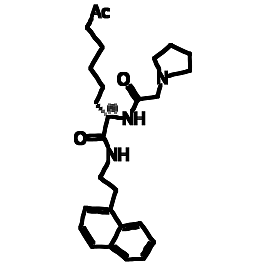 CC(=O)CCCCC[C@H](NC(=O)CN1CCCC1)C(=O)NCCc1cccc2ccccc12